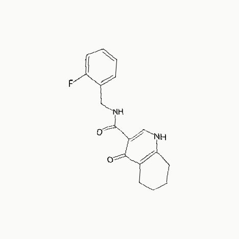 O=C(NCc1ccccc1F)c1c[nH]c2c(c1=O)CCCC2